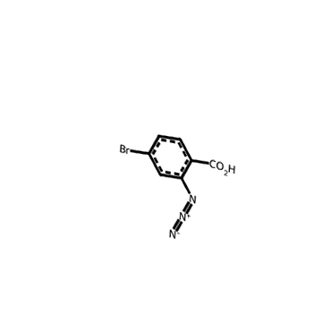 [N-]=[N+]=Nc1cc(Br)ccc1C(=O)O